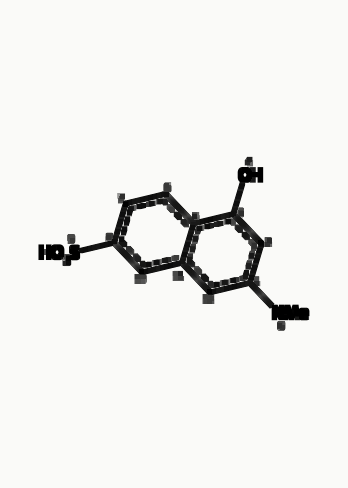 CNc1cc(O)c2ccc(S(=O)(=O)O)cc2c1